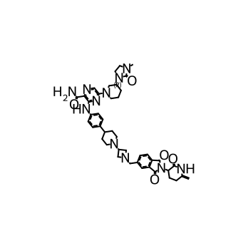 C=C1CCC(N2C(=O)c3ccc(CN4CC(N5CCC(c6ccc(Nc7nc(N8CCC[C@@H](N9CCN(C)C9=O)C8)cnc7C(N)=O)cc6)CC5)C4)cc3C2=O)C(=O)N1